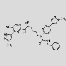 CCC[C@H](CCCCN(C(=O)NCc1ccccc1)c1ccc(-c2cnn(C)c2)nn1)Nc1ncc(C#N)c(-c2cc(C)n[nH]2)n1